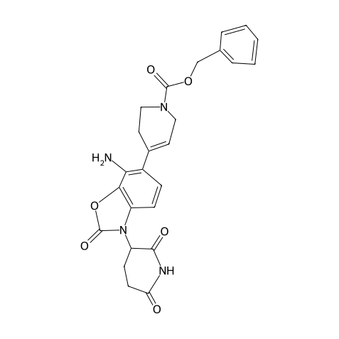 Nc1c(C2=CCN(C(=O)OCc3ccccc3)CC2)ccc2c1oc(=O)n2C1CCC(=O)NC1=O